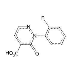 O=C(O)c1ccnn(-c2ccccc2F)c1=O